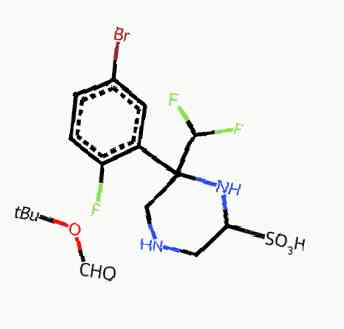 CC(C)(C)OC=O.O=S(=O)(O)C1CNCC(c2cc(Br)ccc2F)(C(F)F)N1